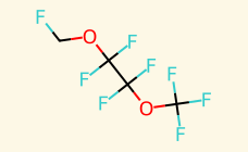 FCOC(F)(F)C(F)(F)OC(F)(F)F